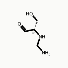 NCN[C@H](C=O)CO